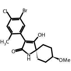 CO[C@H]1CC[C@]2(CC1)NC(=O)C(c1cc(Br)c(Cl)cc1C)=C2O